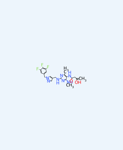 CNc1nc(NCc2cnn(Cc3cc(F)c(F)c(F)c3)c2)nc(C)c1NC(=O)C[C@@H](C)O